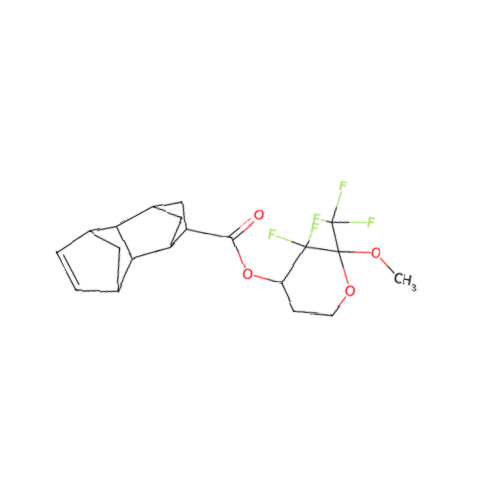 COC1(C(F)(F)F)OCCC(OC(=O)C2CC3CC2C2C4C=CC(C4)C32)C1(F)F